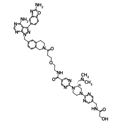 CN(C)C[C@@H]1CN(c2ncc(CNC(=O)CO)cn2)CCN1c1ncc(C(=O)NCCOCCC(=O)N2CCc3cc(Cn4nc(-c5ccc6oc(N)nc6c5)c5c(N)ncnc54)ccc3C2)cn1